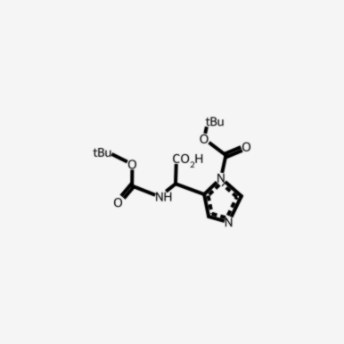 CC(C)(C)OC(=O)NC(C(=O)O)c1cncn1C(=O)OC(C)(C)C